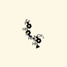 Cc1nc(N/C=C/c2ccc(Nc3cccc(C(F)(F)F)c3)cn2)nc2c(NC3CC3)cccc12